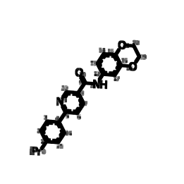 CC(C)c1ccc(-c2ccc(C(=O)Nc3ccc4c(c3)OCCO4)cn2)cc1